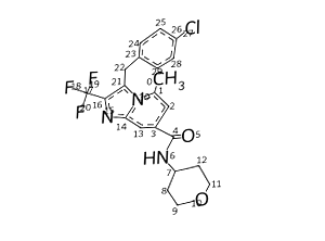 Cc1cc(C(=O)NC2CCOCC2)cc2nc(C(F)(F)F)c(Cc3ccc(Cl)cc3)n12